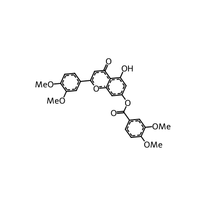 COc1ccc(C(=O)Oc2cc(O)c3c(=O)cc(-c4ccc(OC)c(OC)c4)oc3c2)cc1OC